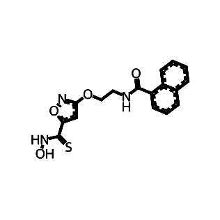 O=C(NCCOc1cc(C(=S)NO)on1)c1cccc2ccccc12